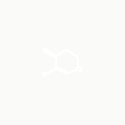 O=C1CCNC=C1Cl